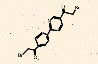 O=C(CBr)c1ccc(-c2ccc(C(=O)CBr)cn2)cc1